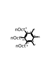 CCCCCCCCc1c(C)c(C)c(C)c(CCCCCCCC)c1CCCCCCCC